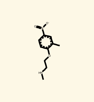 CNCCOc1ccc([N+](=O)[O-])cc1C